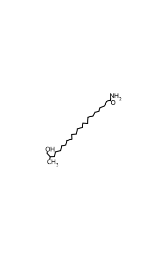 CC(CO)CCCCCCCCCCCCCCCCCCCCC(N)=O